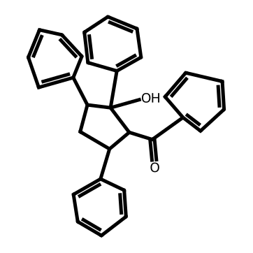 O=C(c1ccccc1)C1C(c2ccccc2)CC(c2ccccc2)C1(O)c1ccccc1